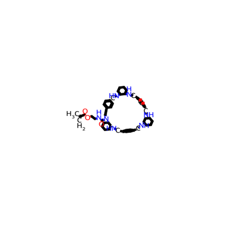 C=C(C)C(=O)OCCNC(=O)N1Cc2ccc(cc2)CNC2CCCCC2NCC2=CC=C(CC2)CNC2CCCCC2NCc2ccc(cc2)CNC2CCCCC21